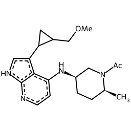 COCC1CC1c1c[nH]c2nccc(N[C@@H]3CC[C@H](C)N(C(C)=O)C3)c12